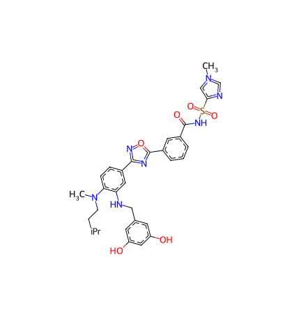 CC(C)CCN(C)c1ccc(-c2noc(-c3cccc(C(=O)NS(=O)(=O)c4cn(C)cn4)c3)n2)cc1NCc1cc(O)cc(O)c1